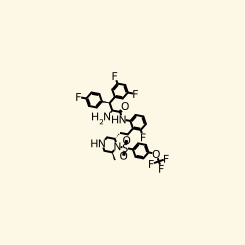 C[C@H]1CNC[C@H](CCc2c(F)cccc2NC(=O)[C@@H](N)[C@@H](c2ccc(F)cc2)c2cc(F)cc(F)c2)N1S(=O)(=O)c1ccc(OC(F)(F)F)cc1